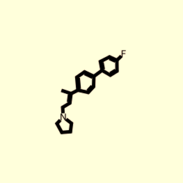 CC(=CCN1CCCC1)c1ccc(-c2ccc(F)cc2)cc1